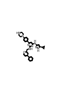 C1=COC(CNc2nc(Nc3cc(C4CC4)[nH]n3)cc(-c3ccc(N4CCNCC4)cc3)n2)=CC=1c1ccccc1